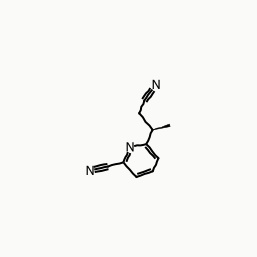 C[C@H](CC#N)c1cccc(C#N)n1